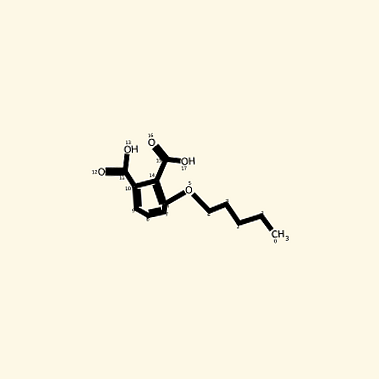 CCCCCOc1cccc(C(=O)O)c1C(=O)O